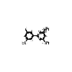 CCc1cc(C)cc(-c2nc(C(C)C)cc(C(C)C)n2)c1